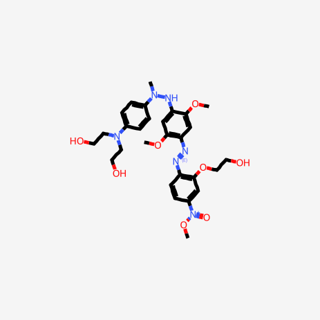 COc1cc(NN(C)c2ccc(N(CCO)CCO)cc2)c(OC)cc1/N=N/c1ccc([N+](=O)OC)cc1OCCO